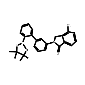 CC1(C)OB(c2ccccc2-c2cccc(N3Cc4c(cccc4C(F)(F)F)C3=O)c2)OC1(C)C